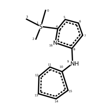 CS(C)(C)c1cccc(Nc2ccccc2)n1